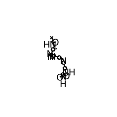 Cc1cc(-c2ncnn3cc(-c4ccc(CN5CCC(c6ccc(N[C@H]7CCC(=O)NC7=O)cc6)CC5)cc4)cc23)ccc1CNC(=O)CCC(C)(C)C